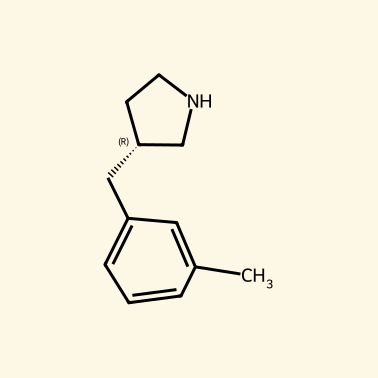 Cc1cccc(C[C@@H]2CCNC2)c1